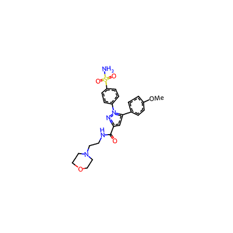 COc1ccc(-c2cc(C(=O)NCCN3CCOCC3)nn2-c2ccc(S(N)(=O)=O)cc2)cc1